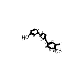 Oc1cccc(-c2ccc(-c3ccc(O)c(F)c3)s2)c1